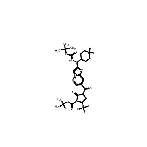 CC(C)(C)OC(=O)N[C@H](c1cn2ncc(C(=O)C3C[C@@H](C(F)(F)F)N(C(=O)OC(C)(C)C)C3=O)cc2n1)C1CCC(F)(F)CC1